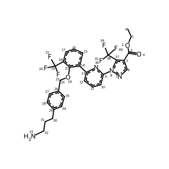 CCOC(=O)c1cnn(-c2cccc(-c3cccc(C(F)(F)F)c3OCc3ccc(CCCN)cc3)n2)c1C(F)(F)F